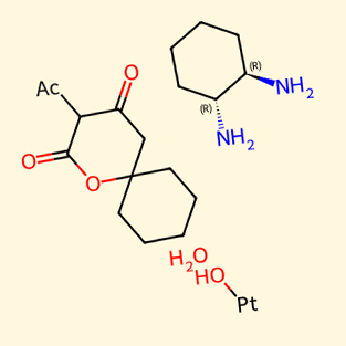 CC(=O)C1C(=O)CC2(CCCCC2)OC1=O.N[C@@H]1CCCC[C@H]1N.O.[OH][Pt]